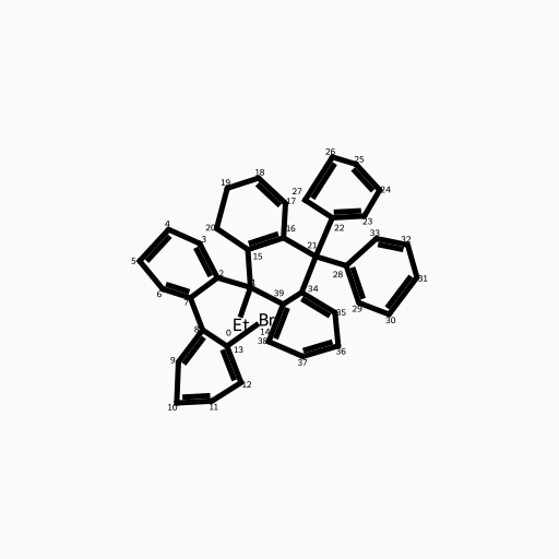 CCC1(c2ccccc2-c2ccccc2Br)C2=C(C=CCC2)C(c2ccccc2)(c2ccccc2)c2ccccc21